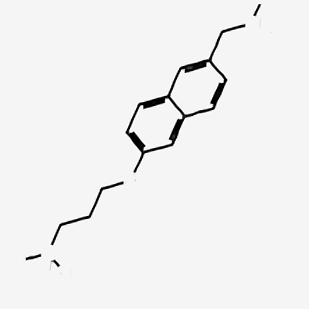 C[SiH2]Cc1ccc2cc(OCCC[SiH](C)C)ccc2c1